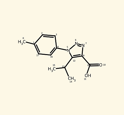 Cc1ccc(-n2nnc(C(=O)O)c2C(C)C)cc1